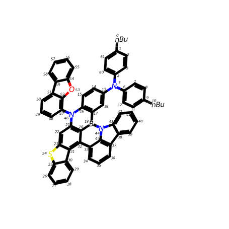 CCCCc1ccc(N(c2ccc(CCCC)cc2)c2ccc3c(c2)B2c4c(cc5sc6ccccc6c5c4-c4cccc5c6ccccc6n2c45)N3c2cccc3c2oc2ccccc23)cc1